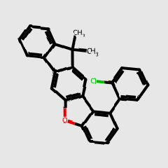 CC1(C)c2ccccc2-c2cc3oc4cccc(-c5ccccc5Cl)c4c3cc21